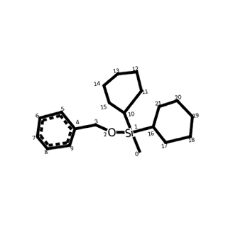 C[Si](OCc1ccccc1)(C1CCCCC1)C1CCCCC1